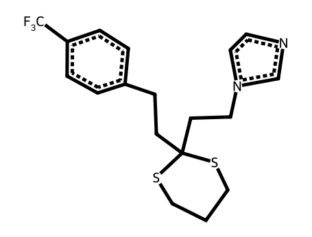 FC(F)(F)c1ccc(CCC2(CCn3ccnc3)SCCCS2)cc1